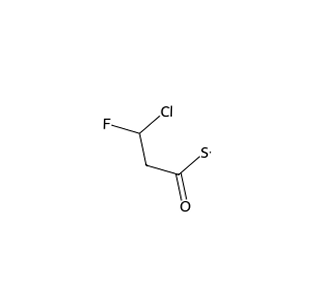 O=C([S])CC(F)Cl